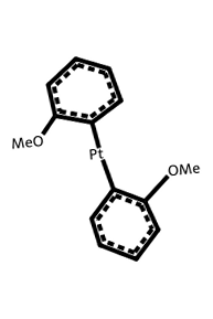 COc1cccc[c]1[Pt][c]1ccccc1OC